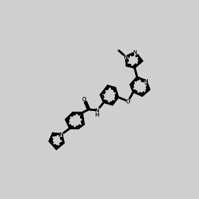 Cn1cc(-c2cc(Oc3cccc(NC(=O)c4ccc(-n5cccc5)cc4)c3)ccn2)cn1